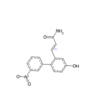 NC(=O)/C=C/c1cc(O)ccc1-c1cccc([N+](=O)[O-])c1